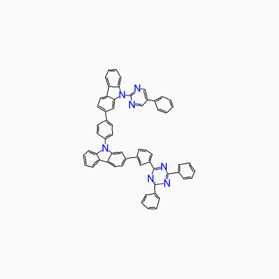 c1ccc(-c2cnc(-n3c4ccccc4c4ccc(-c5ccc(-n6c7ccccc7c7ccc(-c8cccc(-c9nc(-c%10ccccc%10)nc(-c%10ccccc%10)n9)c8)cc76)cc5)cc43)nc2)cc1